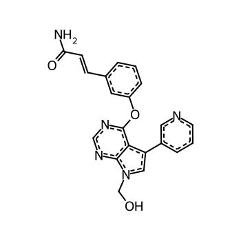 NC(=O)C=Cc1cccc(Oc2ncnc3c2c(-c2cccnc2)cn3CO)c1